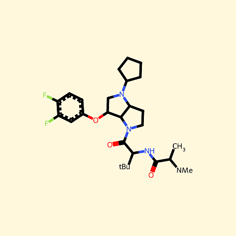 CNC(C)C(=O)NC(C(=O)N1CCC2C1C(Oc1ccc(F)c(F)c1)CN2C1CCCC1)C(C)(C)C